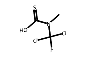 CN(C(O)=S)C(F)(Cl)Cl